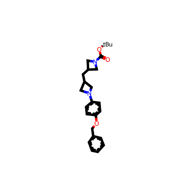 CC(C)(C)OC(=O)N1CC(CC2CN(c3ccc(OCc4ccccc4)cc3)C2)C1